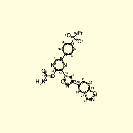 CC(C)S(=O)(=O)c1ccc(-c2cnc(OC(N)=O)c(-c3cc(-c4ccc5oncc5c4)no3)n2)cc1